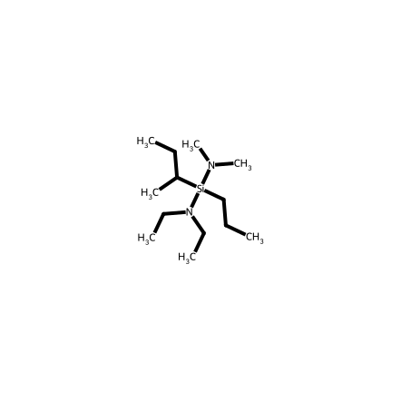 CCC[Si](C(C)CC)(N(C)C)N(CC)CC